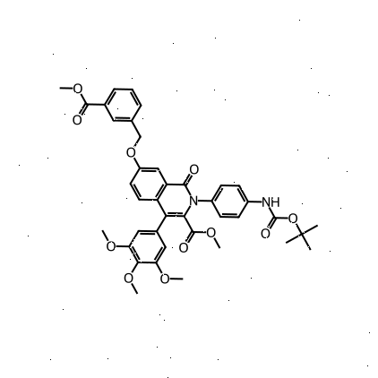 COC(=O)c1cccc(COc2ccc3c(-c4cc(OC)c(OC)c(OC)c4)c(C(=O)OC)n(-c4ccc(NC(=O)OC(C)(C)C)cc4)c(=O)c3c2)c1